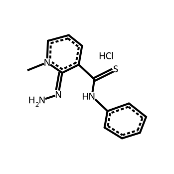 Cl.Cn1cccc(C(=S)Nc2ccccc2)c1=NN